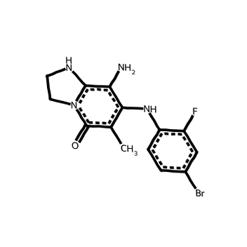 Cc1c(Nc2ccc(Br)cc2F)c(N)c2n(c1=O)CCN2